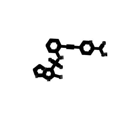 O=C(O)c1ccc(C#Cc2ccccc2NS(=O)(=O)c2c(Cl)nc3sccn23)cn1